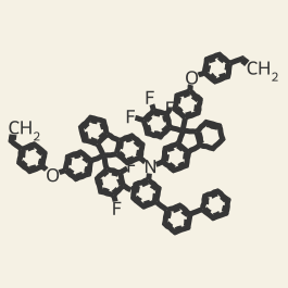 C=Cc1ccc(Oc2ccc(C3(c4ccc(F)c(F)c4F)C4=C(CCC=C4)c4ccc(N(c5cccc(-c6cccc(-c7ccccc7)c6)c5)c5ccc6c(c5)C(c5ccc(Oc7ccc(C=C)cc7)cc5)(c5ccc(F)c(F)c5F)c5ccccc5-6)cc43)cc2)cc1